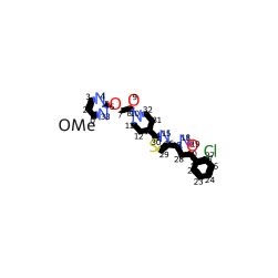 COc1ccnc(OCC(=O)N2CCC(c3nc(C4=NOC(c5[c]cccc5Cl)C4)cs3)CC2)n1